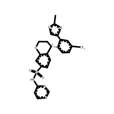 Cc1nc(-c2cc(C(F)(F)F)ccc2[C@H]2CCOc3cc(S(=O)(=O)Nc4ccncn4)ccc32)co1